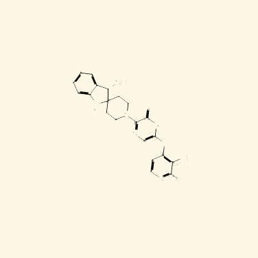 N[C@@H]1c2ccccc2OC12CCN(c1ncc(Sc3ccnc(Cl)c3Cl)[nH]c1=O)CC2